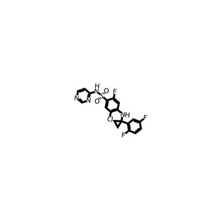 O=S(=O)(Nc1ccncn1)c1cc(Cl)c(NC2(c3cc(F)ccc3F)CC2)cc1F